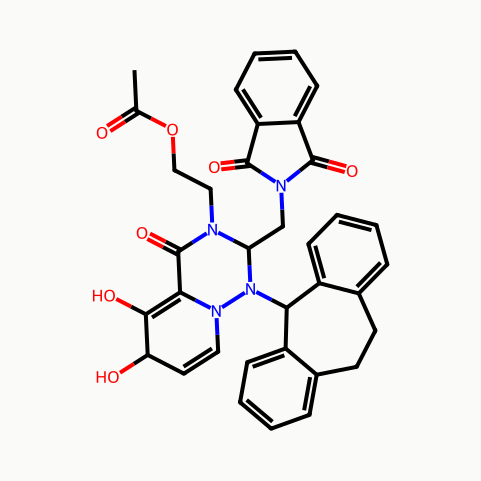 CC(=O)OCCN1C(=O)C2=C(O)C(O)C=CN2N(C2c3ccccc3CCc3ccccc32)C1CN1C(=O)c2ccccc2C1=O